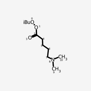 CC(C)COOC(=O)CCCCN(C)C